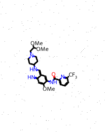 COC1=CC(=N)/C(=C\NC2CCN(CC(OC)OC)CC2)C=C1NC(=O)c1cccc(C(F)(F)F)n1